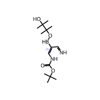 CC(C)(C)OC(=O)N/C=C(/BOC(C)(C)C(C)(C)O)C=N